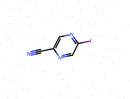 N#Cc1cnc(I)cn1